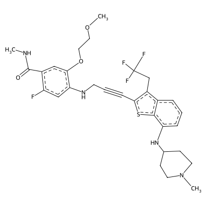 CNC(=O)c1cc(OCCOC)c(NCC#Cc2sc3c(NC4CCN(C)CC4)cccc3c2CC(F)(F)F)cc1F